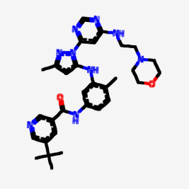 Cc1cc(Nc2cc(NC(=O)c3cncc(C(C)(C)C)c3)ccc2C)n(-c2cc(NCCN3CCOCC3)ncn2)n1